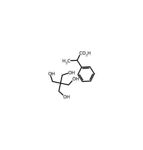 CC(C(=O)O)c1ccccc1.OCC(CO)(CO)CO